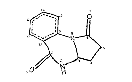 O=C1NC2CCC(=O)N2c2ccccc21